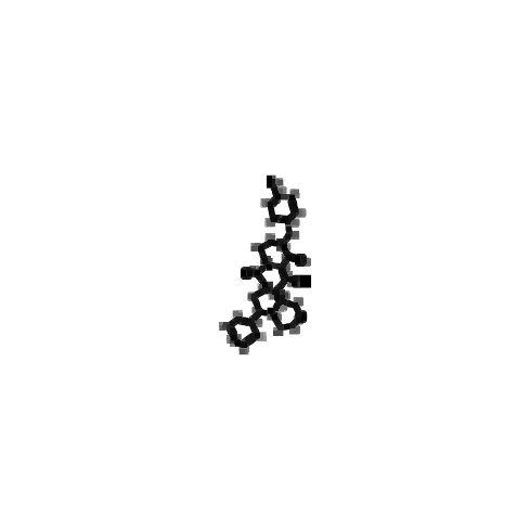 O=C1c2c(O)c(=O)n(CC(c3ccncc3)N3CCOCC3)c(=O)n2CCN1Cc1ccc(F)cc1